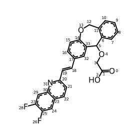 O=C(O)COC1c2ccccc2COc2ccc(C=Cc3ccc4cc(F)c(F)cc4n3)cc21